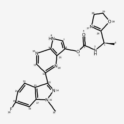 C[C@@H](NC(=O)Oc1c[nH]c2ncc(-c3nn(C)c4cc(F)ccc34)nc12)C1=NCCO1